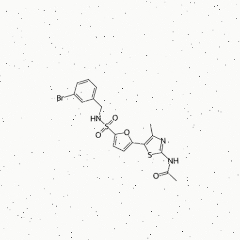 CC(=O)Nc1nc(C)c(-c2ccc(S(=O)(=O)NCc3cccc(Br)c3)o2)s1